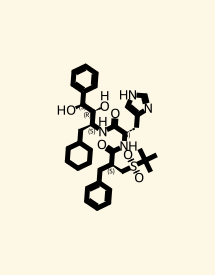 CC(C)(C)S(=O)(=O)C[C@@H](Cc1ccccc1)C(=O)N[C@@H](Cc1c[nH]cn1)C(=O)N[C@@H](CC1CCCCC1)[C@@H](O)[C@@H](O)c1ccccc1